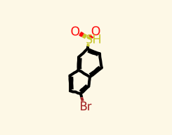 O=[SH](=O)c1ccc2cc(Br)ccc2c1